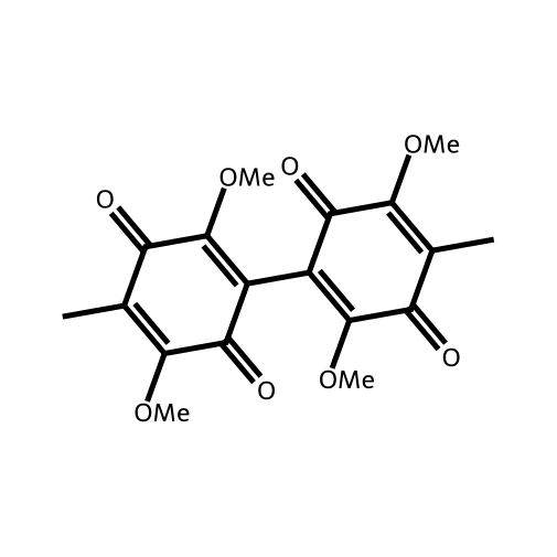 COC1=C(C)C(=O)C(OC)=C(C2=C(OC)C(=O)C(C)=C(OC)C2=O)C1=O